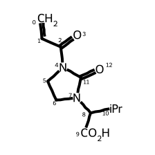 C=CC(=O)N1CCN(C(C(=O)O)C(C)C)C1=O